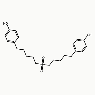 O=S(=O)(CCCCCc1ccc(O)cc1)CCCCCc1ccc(O)cc1